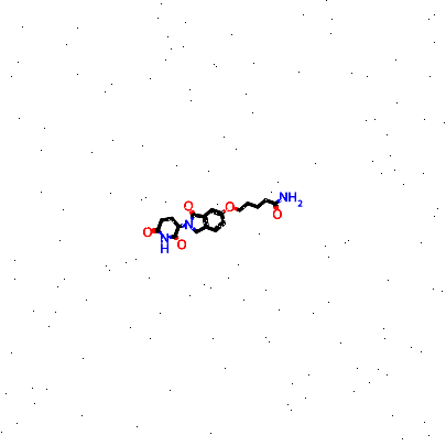 NC(=O)CCCCOc1ccc2c(c1)C(=O)N(C1CCC(=O)NC1=O)C2